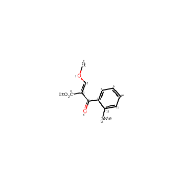 CCOC=C(C(=O)OCC)C(=O)c1ccccc1SC